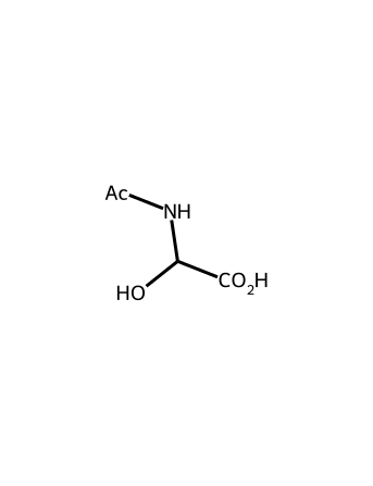 CC(=O)NC(O)C(=O)O